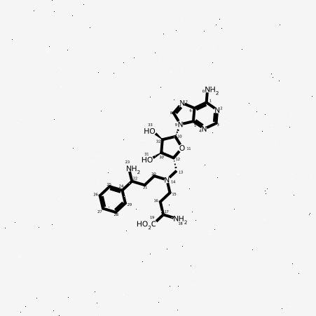 Nc1ncnc2c1ncn2[C@@H]1O[C@H](CN(CCC(N)C(=O)O)CCC(N)c2ccccc2)[C@@H](O)[C@H]1O